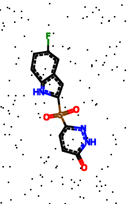 O=c1ccc(S(=O)(=O)c2cc3cc(F)ccc3[nH]2)n[nH]1